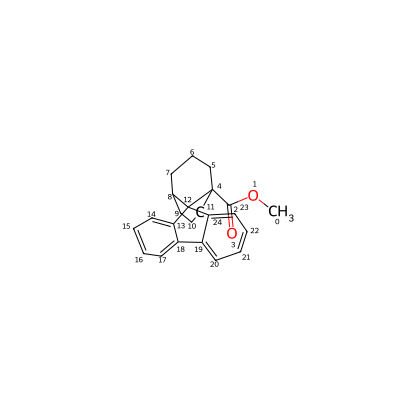 COC(=O)C12CCCC(CCC1)C21c2ccccc2-c2ccccc21